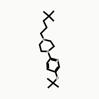 CC(C)(C)CCCN1CCN(c2ccc(OC(C)(C)C)cn2)CC1